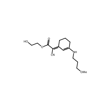 COCCCNC1=C/C(=C(\C#N)C(=O)OCCO)CCC1